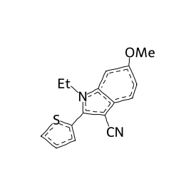 CCn1c(-c2cccs2)c(C#N)c2ccc(OC)cc21